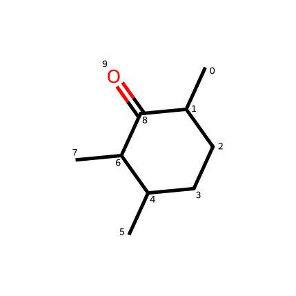 CC1CCC(C)C(C)C1=O